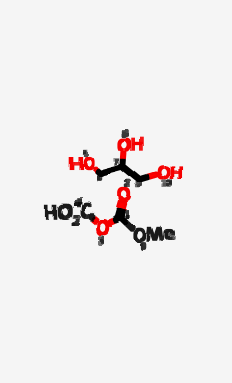 COC(=O)OC(=O)O.OCC(O)CO